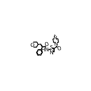 CN1CCN(C(=O)c2cnc(NC(=O)C(=CC3CCOCC3)c3ccccc3)s2)CC1